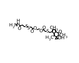 CC1=C(CSCC(=O)OCCOC(=O)CSSCCC(=O)NN)C2=C(C)C3(CC3)[C@@](C)(O)C(=O)C2=C1